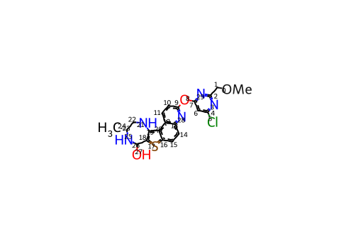 COCc1nc(Cl)cc(Oc2ccc3c(ccc4sc5c(c43)NC[C@@H](C)NC5O)n2)n1